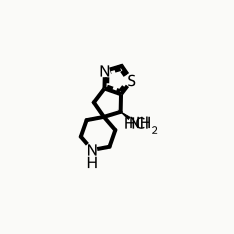 Cl.N[C@@H]1c2scnc2CC12CCNCC2